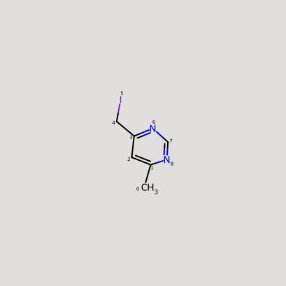 Cc1cc(CI)ncn1